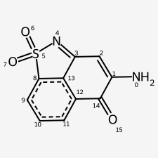 NC1=CC2=NS(=O)(=O)c3cccc(c32)C1=O